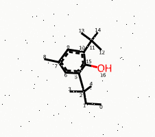 CCC(C)(C)c1cc(C)cc(C(C)(C)C)c1O